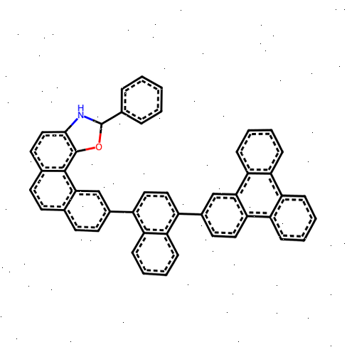 c1ccc(C2Nc3ccc4ccc5ccc(-c6ccc(-c7ccc8c9ccccc9c9ccccc9c8c7)c7ccccc67)cc5c4c3O2)cc1